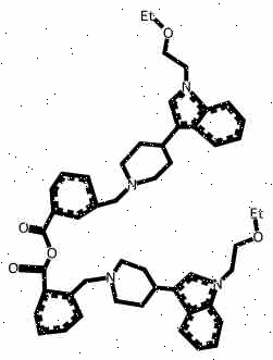 CCOCCn1cc(C2CCN(Cc3cccc(C(=O)OC(=O)c4ccccc4CN4CCC(c5cn(CCOCC)c6ccccc56)CC4)c3)CC2)c2ccccc21